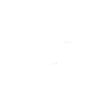 CNCCS(=O)(=O)[O-].CNCCS(=O)(=O)[O-].[Ca+2]